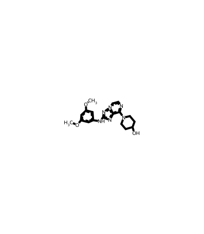 COc1cc(Nc2nc3c(N4CCC(O)CC4)nccn3n2)cc(OC)c1